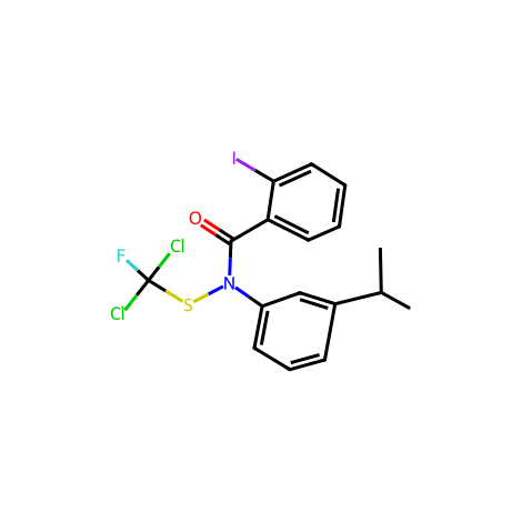 CC(C)c1cccc(N(SC(F)(Cl)Cl)C(=O)c2ccccc2I)c1